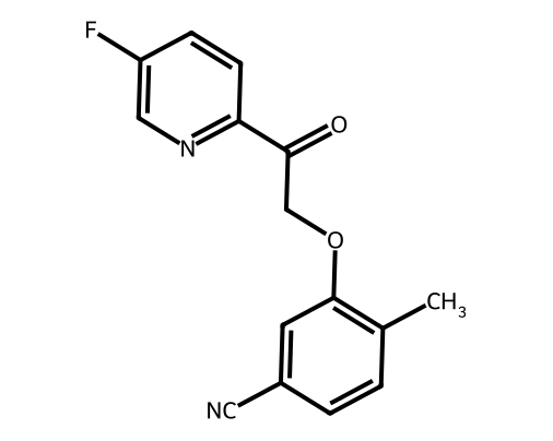 Cc1ccc(C#N)cc1OCC(=O)c1ccc(F)cn1